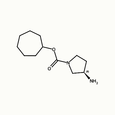 N[C@@H]1CCN(C(=O)OC2CCCCCC2)C1